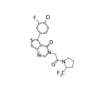 O=C(Cn1cnc2csc(-c3ccc(Cl)c(F)c3)c2c1=O)N1CCCC1C(F)(F)F